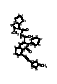 Cc1nn2cccnc2c1C(=O)NC(C)c1cc2cccc(C#Cc3cn(C)cn3)c2c(=O)n1-c1ccccc1